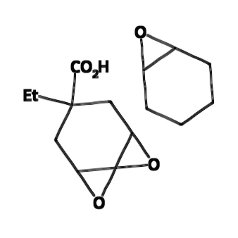 C1CCC2OC2C1.CCC1(C(=O)O)CC2OC23OC3C1